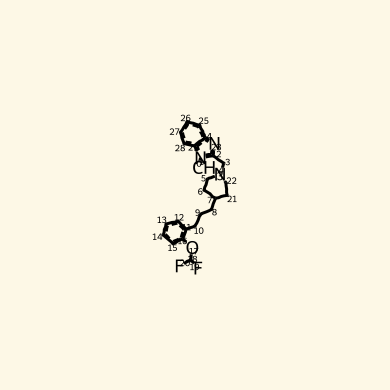 Cn1c(CN2CCC(CCCc3ccccc3OC(F)F)CC2)nc2ccccc21